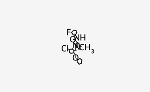 Cc1cc(C(=O)Nc2cccc(F)c2)nn1Cc1cc(Cl)ccc1COc1ccccc1